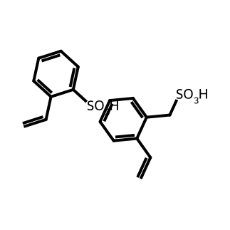 C=Cc1ccccc1CS(=O)(=O)O.C=Cc1ccccc1S(=O)(=O)O